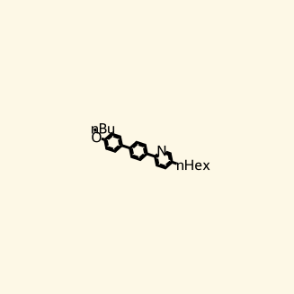 CCCCCCc1ccc(-c2ccc(-c3ccc(OCCCC)cc3)cc2)nc1